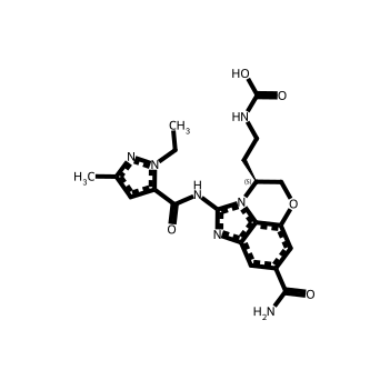 CCn1nc(C)cc1C(=O)Nc1nc2cc(C(N)=O)cc3c2n1[C@@H](CCNC(=O)O)CO3